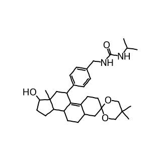 CC(C)NC(=O)NCc1ccc(C2CC3(C)C(O)CCC3C3CCC4CC5(CCC4=C23)OCC(C)(C)CO5)cc1